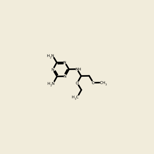 CCOC(COC)Nc1nc(N)nc(N)n1